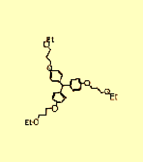 CCOCCCOc1ccc(C(c2ccc(OCCCOCC)cc2)c2ccc(OCCCOCC)cc2)cc1